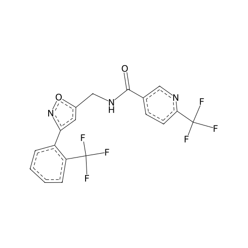 O=C(NCc1cc(-c2ccccc2C(F)(F)F)no1)c1ccc(C(F)(F)F)nc1